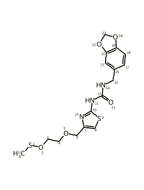 CSOCCOCc1csc(NC(=O)NCc2ccc3c(c2)OCO3)n1